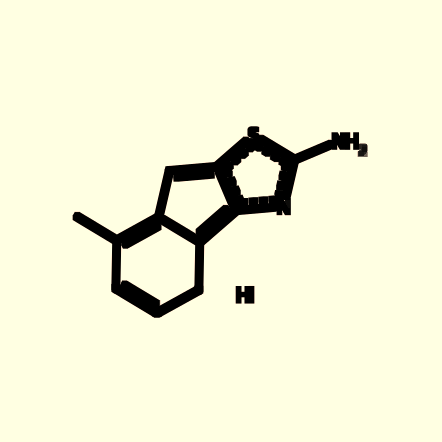 CC1=C2C=c3sc(N)nc3=C2CC=C1.I